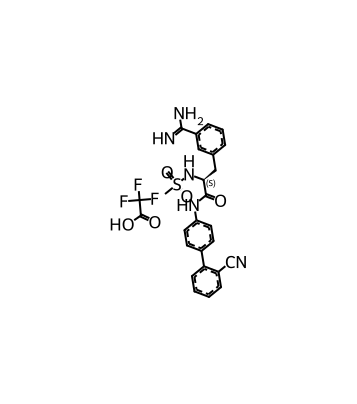 CS(=O)(=O)N[C@@H](Cc1cccc(C(=N)N)c1)C(=O)Nc1ccc(-c2ccccc2C#N)cc1.O=C(O)C(F)(F)F